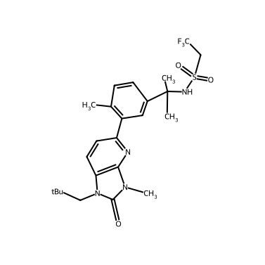 Cc1ccc(C(C)(C)NS(=O)(=O)CC(F)(F)F)cc1-c1ccc2c(n1)n(C)c(=O)n2CC(C)(C)C